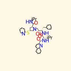 CC(C)NC(=O)[C@@H]1C[C@@H](Sc2ccccn2)CN1C[C@@H](O)[C@H](Cc1ccccc1)NC(=O)[C@@H](NC(=O)c1ccc2ccccc2n1)C(C)C